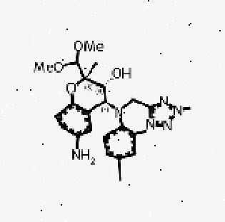 COC(OC)[C@@]1(C)Oc2ccc(N)cc2[C@H](N(Cc2nnn(C)n2)c2ccc(C)cc2C)[C@H]1O